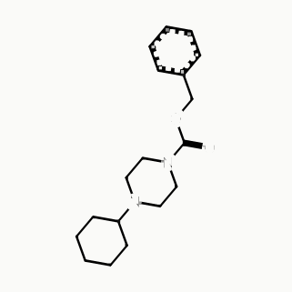 O=C(OCc1ccccc1)N1CCN(C2CCCCC2)CC1